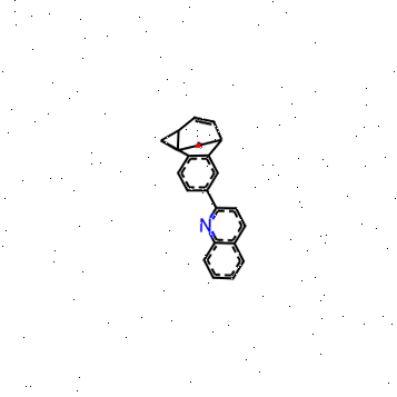 C1=CC2C3C=CC1c1cc(-c4ccc5ccccc5n4)ccc1C23